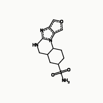 NS(=O)(=O)C1CCC2C(CNc3nc4cocc4n32)C1